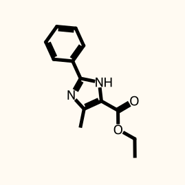 CCOC(=O)c1[nH]c(-c2ccccc2)nc1C